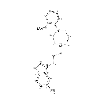 COc1cncnc1N1CCCN(CCCn2ccc3ccc(C#N)cc32)CC1